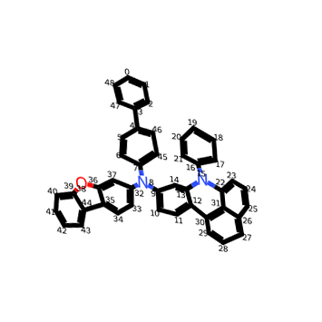 c1ccc(-c2ccc(N(c3ccc4c(c3)N(c3ccccc3)c3cccc5cccc-4c35)c3ccc4c(c3)oc3ccccc34)cc2)cc1